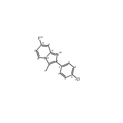 Cc1c(-c2ccc(Cl)cc2)nc2cc(F)ccn12